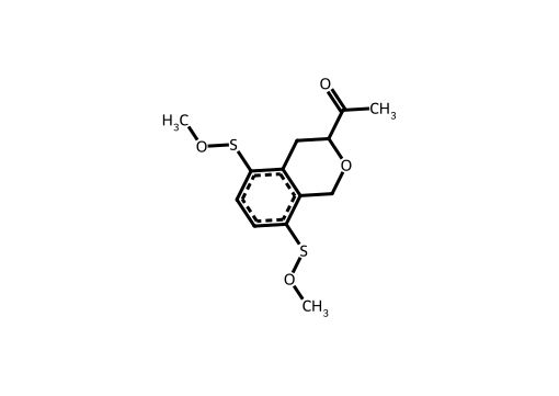 COSc1ccc(SOC)c2c1COC(C(C)=O)C2